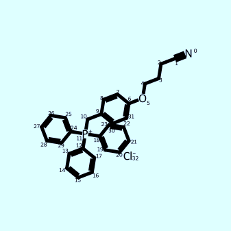 N#CCCCOc1ccc(C[P+](c2ccccc2)(c2ccccc2)c2ccccc2)cc1.[Cl-]